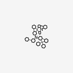 c1ccc(-c2cccc(N(c3ccc4c(c3)C(c3ccccc3)(c3ccccc3)c3ccccc3-4)c3ccc4c(c3)C3(c5ccccc5-4)c4ccccc4-n4c5ccccc5c5cccc3c54)c2)cc1